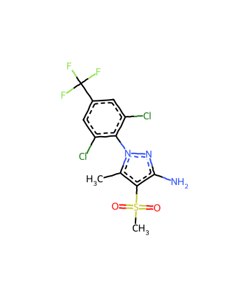 Cc1c(S(C)(=O)=O)c(N)nn1-c1c(Cl)cc(C(F)(F)F)cc1Cl